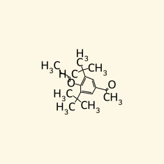 CCCOc1c(C(C)(C)C)cc(C(C)=O)cc1C(C)(C)C